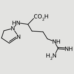 N=C(N)NCCCC(NN1CCC=N1)C(=O)O